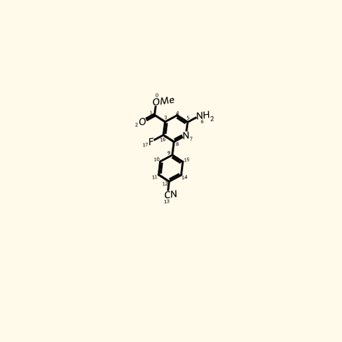 COC(=O)c1cc(N)nc(-c2ccc(C#N)cc2)c1F